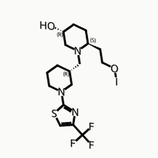 O[C@@H]1CC[C@@H](CCOI)N(C[C@H]2CCCN(c3nc(C(F)(F)F)cs3)C2)C1